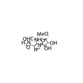 COC[C@H]1O[C@@H](n2cnc(C(N)=O)c2NC=O)[C@@H](O)C1O